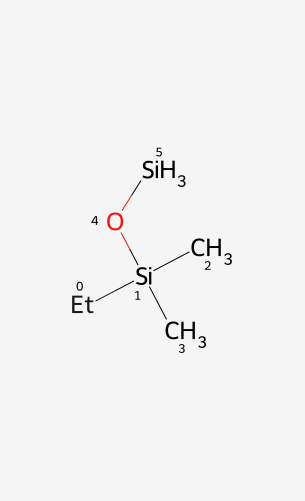 CC[Si](C)(C)O[SiH3]